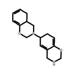 C1=CCC2CN(C3C=C4CNCOC4=CC3)COC2=C1